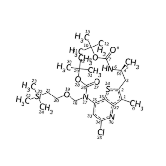 Cc1c(C[C@H](C)NC(=O)OC(C)(C)C)sc2c(N(COCC[Si](C)(C)C)C(=O)OC(C)(C)C)cc(Cl)nc12